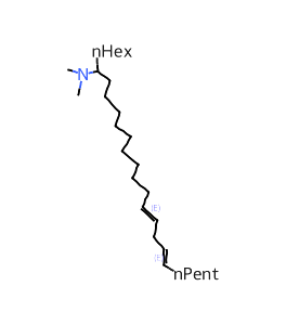 CCCCC/C=C/C/C=C/CCCCCCCCCC(CCCCCC)N(C)C